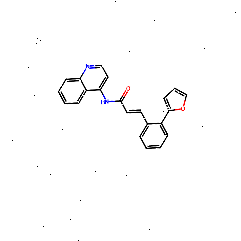 O=C(/C=C/c1ccccc1-c1ccco1)Nc1ccnc2ccccc12